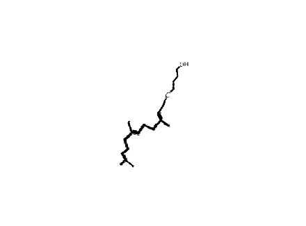 CC(C)=CCCC(C)=CCCC(C)=CCCCCCCO